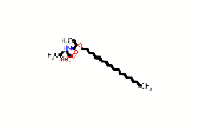 CCC=CCC=CCC=CCC=CCC=CCCCCOC(CC)C(=O)N[C@@H](CC(C)C)C(=O)O